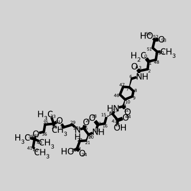 C=C(CC(=O)NC[C@H]1CC[C@@H](C(=O)N[C@@H](CCC(=O)N[C@@H](CCC(=O)O)C(=O)NCCOC(C)(C)CCOC(C)(C)CC)C(=O)O)CC1)CC(C)CC(=O)O